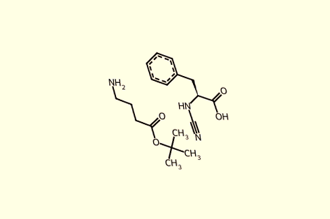 CC(C)(C)OC(=O)CCCN.N#CN[C@@H](Cc1ccccc1)C(=O)O